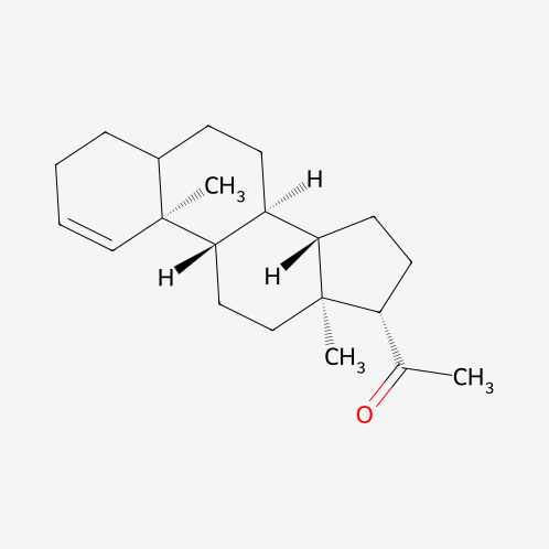 CC(=O)[C@H]1CC[C@H]2[C@@H]3CCC4CCC=C[C@]4(C)[C@H]3CC[C@]12C